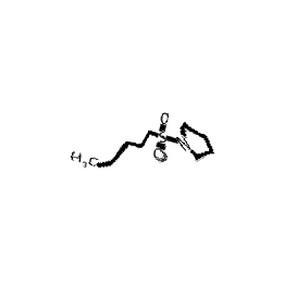 CCCCCS(=O)(=O)N1CCCC1